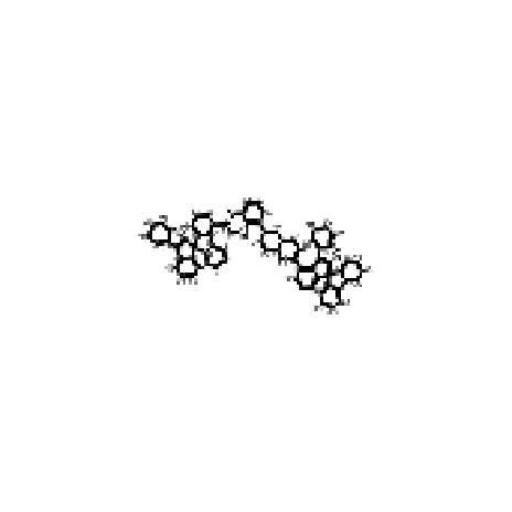 c1ccc2c(c1)-c1c(-c3cnc4c(-c5ccc6nc(-c7cccc8c7-c7c(sc9ccccc79)C87c8ccccc8-c8ccccc87)ccc6c5)cccc4n3)cccc1C21c2ccccc2-c2c1sc1ccccc21